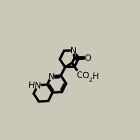 O=C(O)C1C(=O)N2CCC1(c1ccc3c(n1)NCCC3)CC2